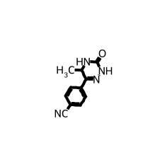 CC1NC(=O)NN=C1c1ccc(C#N)cc1